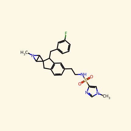 CN1C2C1C21Cc2ccc(CCNS(=O)(=O)c3cn(C)cn3)cc2C1Cc1cccc(F)c1